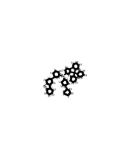 c1ccc(-c2ccc(N(c3cccc(-c4ccc5sc6ccccc6c5c4)c3)c3ccc4c(c3)C(c3ccccc3)(c3ccccc3)c3ccccc3-4)cc2)cc1